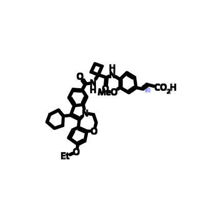 CCOc1ccc2c(c1)OCCn1c-2c(C2CCCCC2)c2ccc(C(=O)NC3(C(=O)Nc4ccc(/C=C/C(=O)O)cc4OC)CCC3)cc21